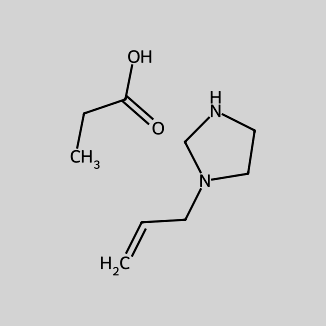 C=CCN1CCNC1.CCC(=O)O